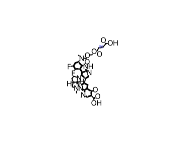 CN1C[C@@H]2CCN(c3c(-c4cnc5c(c4)c(=O)c(C(=O)O)cn5C)cnc4[nH]c5c(N(C)C(=O)OCOC(=O)/C=C/C(=O)O)cc(F)c(F)c5c34)[C@@H]2C1